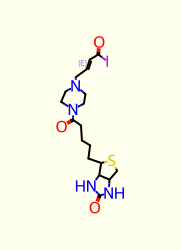 O=C(I)/C=C/CN1CCN(C(=O)CCCCC2SCC3NC(=O)NC32)CC1